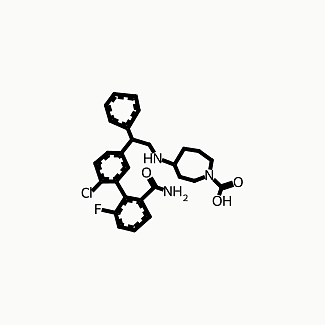 NC(=O)c1cccc(F)c1-c1cc(C(CNC2CCCN(C(=O)O)CC2)c2ccccc2)ccc1Cl